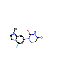 CC(C)(C)n1ccc2c(F)cc(N3CCC(=O)NC3=O)cc21